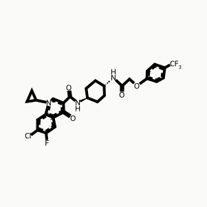 O=C(COc1ccc(C(F)(F)F)cc1)N[C@H]1CC[C@H](NC(=O)c2cn(C3CC3)c3cc(Cl)c(F)cc3c2=O)CC1